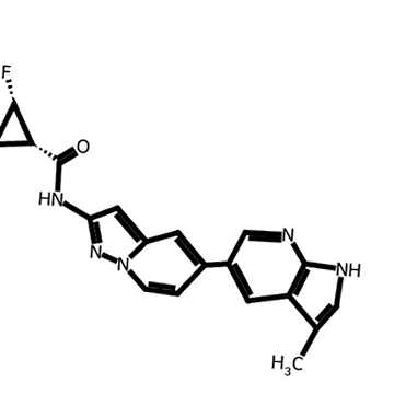 Cc1c[nH]c2ncc(-c3ccn4nc(NC(=O)[C@@H]5C[C@@H]5F)cc4c3)cc12